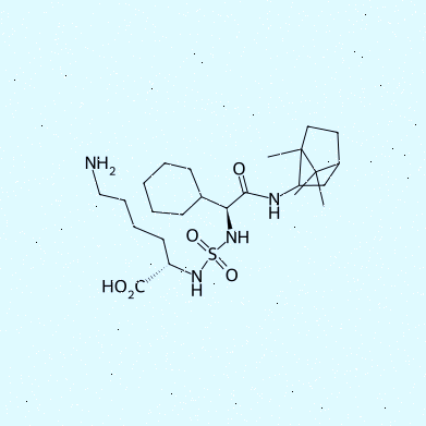 CC1(C)C2CCC1(C)C(NC(=O)[C@@H](NS(=O)(=O)N[C@@H](CCCCN)C(=O)O)C1CCCCC1)C2